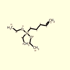 C=CCCC[Si](CC)(OCC)OCC